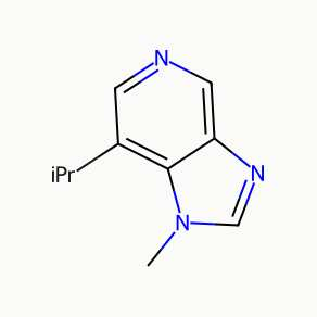 CC(C)c1cncc2ncn(C)c12